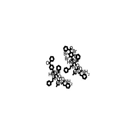 CC(C)C[C@H](NC(=O)[C@@](Cc1ccccc1)(NC(=O)c1c(Br)c(Br)c(C(=O)c2ccccc2)c(Br)c1Br)[C@H](O)CCCc1ccccc1)C(=O)NC(Cc1ccccc1)C(N)=O.CC(C)C[C@H](NC(=O)[C@@](Cc1ccccc1)(NC(=O)c1ccc(C(=O)c2ccccc2)cc1)[C@H](O)CCCc1ccccc1)C(=O)NC(Cc1ccccc1)C(N)=O